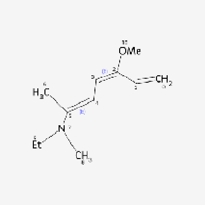 C=C/C(=C\C=C(/C)N(C)CC)OC